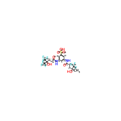 CC(O)(CCC(=O)Nc1cc(NC(=O)CCC(O)(C(F)(F)F)C(F)(F)F)cc(S(=O)(=O)O)c1)C(F)(F)F